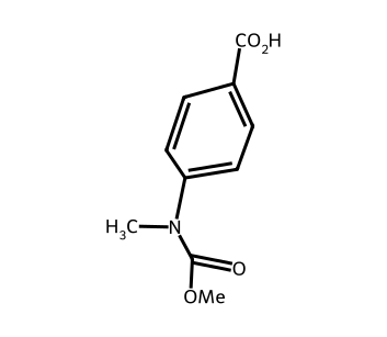 COC(=O)N(C)c1ccc(C(=O)O)cc1